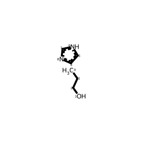 CCCO.c1c[nH]cn1